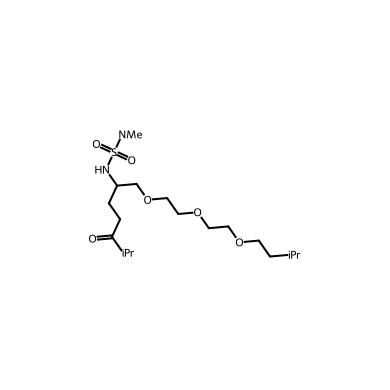 CNS(=O)(=O)NC(CCC(=O)C(C)C)COCCOCCOCCC(C)C